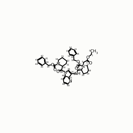 CCOC(=O)C[N+]1(C(=O)OCc2ccccc2)CCCCC1C(=O)Nc1cn(C(=O)C2CCCCN2C(=O)OCc2ccccc2)c2cccnc12